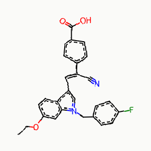 CCOc1ccc2c(C=C(C#N)c3ccc(C(=O)O)cc3)cn(Cc3ccc(F)cc3)c2c1